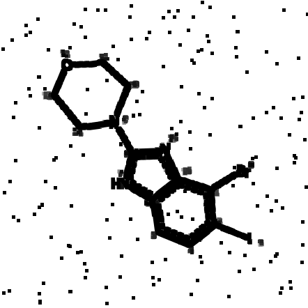 Brc1c(I)ccc2[nH]c(N3CCOCC3)nc12